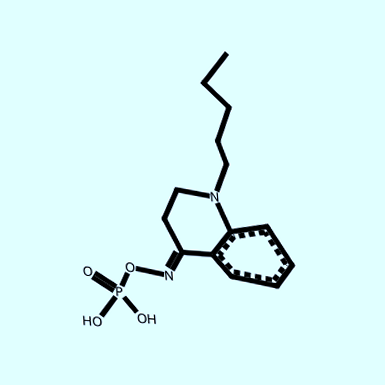 CCCCCN1CCC(=NOP(=O)(O)O)c2ccccc21